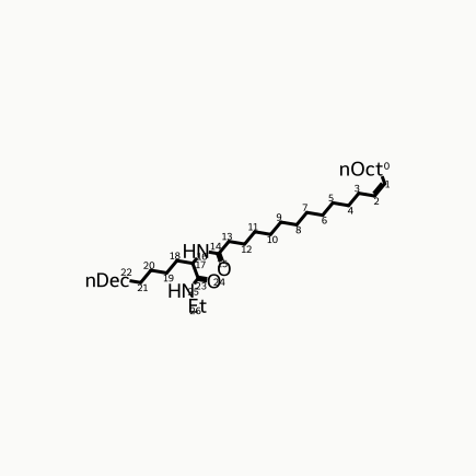 CCCCCCCC/C=C\CCCCCCCCCCCC(=O)NC(CCCCCCCCCCCCCC)C(=O)NCC